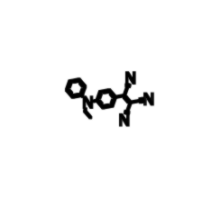 CCN(c1ccccc1)c1ccc(C(C#N)=C(C#N)C#N)cc1